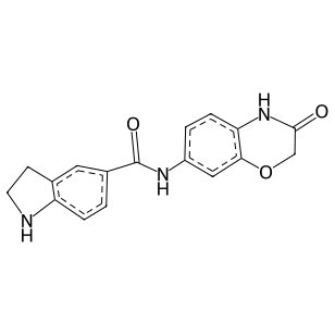 O=C1COc2cc(NC(=O)c3ccc4c(c3)CCN4)ccc2N1